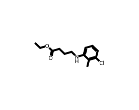 CCOC(=O)CCCNc1cccc(Cl)c1C